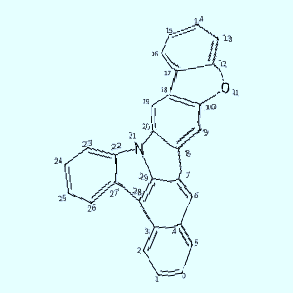 c1ccc2c(c1)cc1c3cc4oc5ccccc5c4cc3n3c4ccccc4c2c13